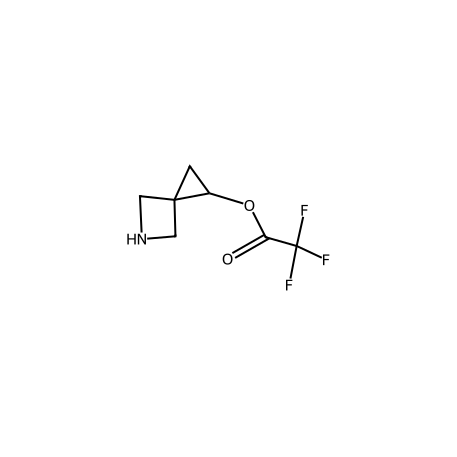 O=C(OC1CC12CNC2)C(F)(F)F